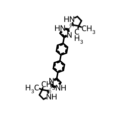 CC1(C)CCN[C@H]1c1nc(-c2ccc(-c3ccc(-c4c[nH]c([C@@H]5NCCC5(C)C)n4)cc3)cc2)c[nH]1